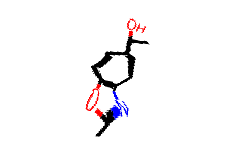 Cc1nc2cc(C(C)O)ccc2o1